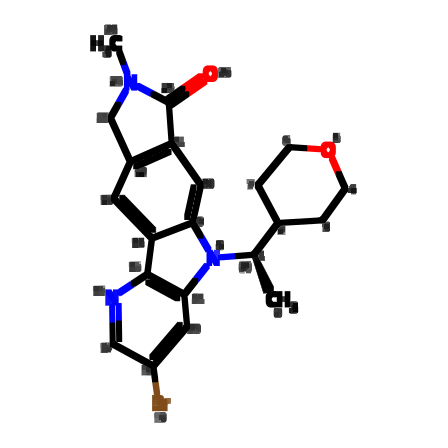 C[C@H](C1CCOCC1)n1c2cc3c(cc2c2ncc(Br)cc21)CN(C)C3=O